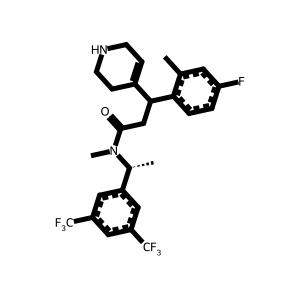 Cc1cc(F)ccc1C(CC(=O)N(C)[C@H](C)c1cc(C(F)(F)F)cc(C(F)(F)F)c1)C1=CCNCC1